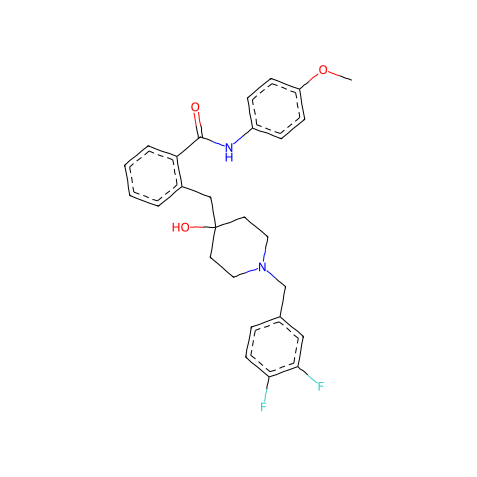 COc1ccc(NC(=O)c2ccccc2CC2(O)CCN(Cc3ccc(F)c(F)c3)CC2)cc1